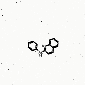 C1=Cc2ccccc2[As]=C1[AsH]c1ccccc1